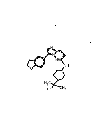 CC(C)(O)C1CCC(Nc2ccc3ncc(-c4ccc5c(c4)CCO5)n3n2)CC1